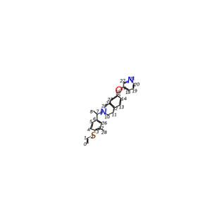 C=CSc1ccc(C(C)N2CCc3ccc(Oc4cccnc4)cc3C2)cc1C